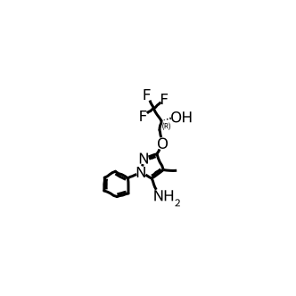 Cc1c(OC[C@@H](O)C(F)(F)F)nn(-c2ccccc2)c1N